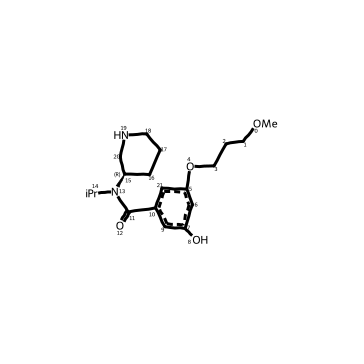 COCCCOc1cc(O)cc(C(=O)N(C(C)C)[C@@H]2CCCNC2)c1